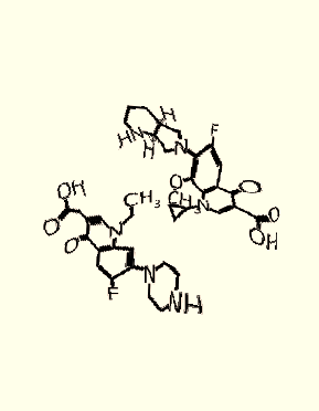 CCn1cc(C(=O)O)c(=O)c2cc(F)c(N3CCNCC3)cc21.COc1c(N2C[C@@H]3CCCN[C@@H]3C2)c(F)cc2c(=O)c(C(=O)O)cn(C3CC3)c12